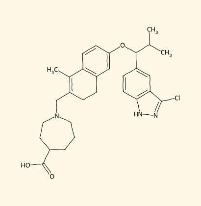 CC1=C(CN2CCCC(C(=O)O)CC2)CCc2cc(OC(c3ccc4[nH]nc(Cl)c4c3)C(C)C)ccc21